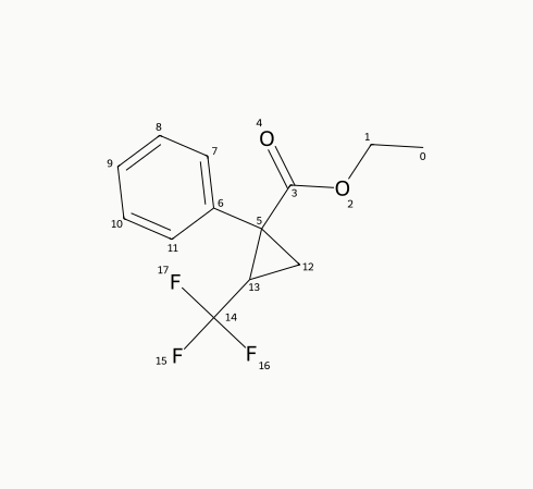 CCOC(=O)C1(c2ccccc2)CC1C(F)(F)F